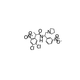 CC(C(=O)NC(CN1CCCC1)c1cccc([N+](=O)[O-])c1)c1cc(Cl)c(Cl)cc1[N+](=O)[O-]